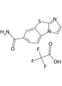 NC(=O)c1ccc2c(c1)sc1nccn12.O=C(O)C(F)(F)F